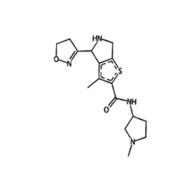 Cc1c(C(=O)NC2CCN(C)C2)sc2c1C(C1=NOCC1)NC2